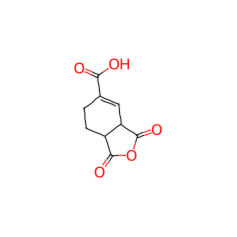 O=C(O)C1=CC2C(=O)OC(=O)C2CC1